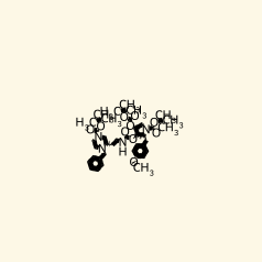 COc1ccc(C[C@@H]2[C@H](OC(=O)NCC[C@H]3CN(C(=O)OC(C)(C)C)CCN3Cc3ccccc3)[C@@H](OC(=O)OC(C)(C)C)CN2C(=O)OC(C)(C)C)cc1